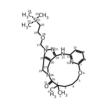 CC1(C)CCCOc2cccc(n2)Nc2nn(COCC[Si](C)(C)C)c3c2CN(C3)C1=O